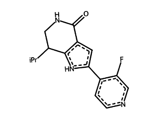 CC(C)C1CNC(=O)c2cc(-c3ccncc3F)[nH]c21